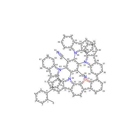 Cc1ccccc1-c1ccc2c(c1)c1ccc3c4ccccc4oc3c1n2-c1c(C#N)c(-n2c3ccccc3c3ccccc32)c(-n2c3ccccc3c3ccccc32)c(C#N)c1-n1c2ccccc2c2ccccc21